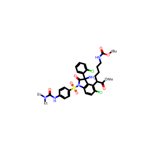 CCN(CC)C(=O)Nc1ccc(S(=O)(=O)N2C(=O)C(N)(c3ccccc3Cl)c3c2ccc(Cl)c3C(CCCCNC(=O)OC(C)(C)C)C(=O)OC)cc1